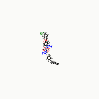 COc1ccc(CCNC(=O)C(=O)Nc2ccc(OCc3ccc(Br)cc3)cc2)cc1